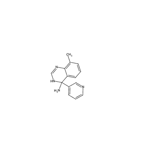 Cc1cccc2c1N=CNC2(N)c1cccnc1